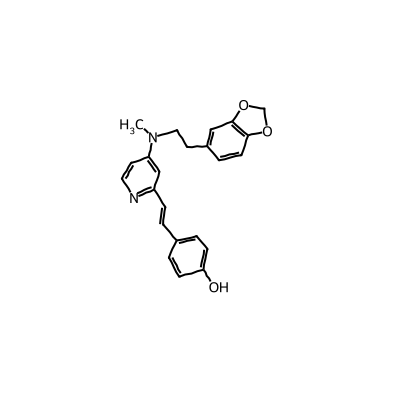 CN(CCc1ccc2c(c1)OCO2)c1ccnc(/C=C/c2ccc(O)cc2)c1